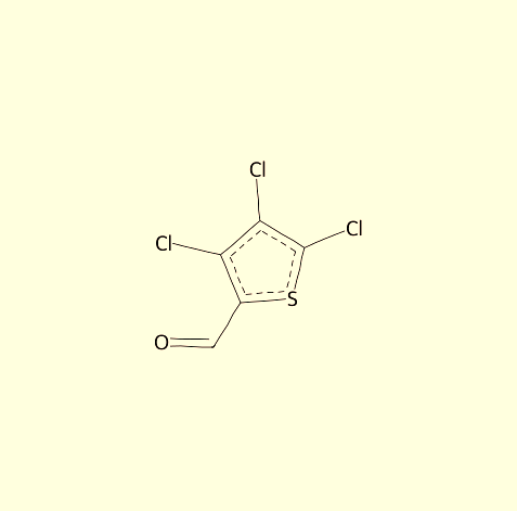 O=Cc1sc(Cl)c(Cl)c1Cl